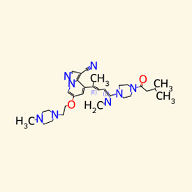 C=N/C(=C\C=C(/C)c1cc(OCCN2CCN(C)CC2)cn2ncc(C#N)c12)N1CCN(C(=O)CC(C)C)CC1